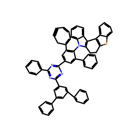 C1#CCC(c2cc(-c3nc(-c4ccccc4)nc(-c4cc(-c5ccccc5)cc(-c5ccccc5)c4)n3)cc(-c3ccccc3)c2-n2c3c(c4ccccc42)-c2c(sc4ccccc24)CC3)=CC=C1